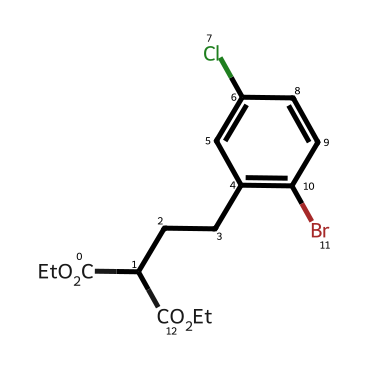 CCOC(=O)C(CCc1cc(Cl)ccc1Br)C(=O)OCC